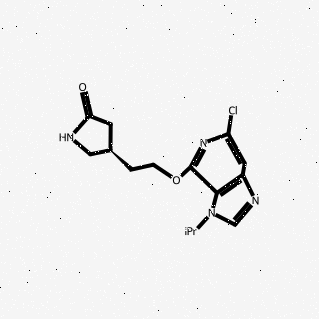 CC(C)n1cnc2cc(Cl)nc(OCC[C@H]3CNC(=O)C3)c21